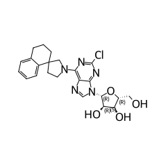 OC[C@H]1O[C@@H](n2cnc3c(N4CCC5(CCCc6ccccc65)C4)nc(Cl)nc32)[C@H](O)[C@@H]1O